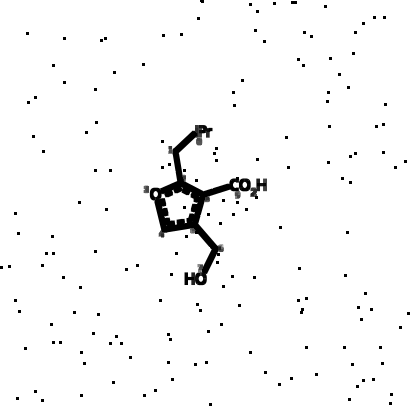 CC(C)Cc1occ(CO)c1C(=O)O